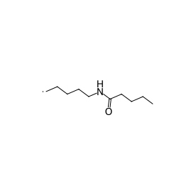 [CH2]CCCCNC(=O)CCCC